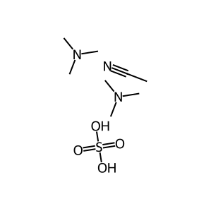 CC#N.CN(C)C.CN(C)C.O=S(=O)(O)O